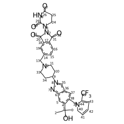 CC(C)(O)c1cc2nn(C3CCN(Cc4ccc5c(c4)C(=O)N(N4CCC(=O)NC4=O)C5=O)CC3)cc2cc1N1CC=CC=C1C(F)(F)F